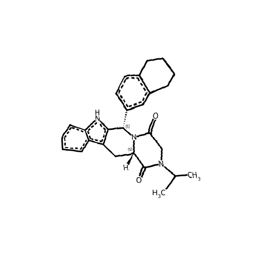 CC(C)N1CC(=O)N2[C@@H](c3ccc4c(c3)CCCC4)c3[nH]c4ccccc4c3C[C@H]2C1=O